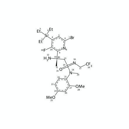 CC[Si](CC)(CC)c1cc(Br)nc([C@@](C)(N)CS(=O)(=NCC(F)(F)F)N(C)c2ccc(OC)cc2OC)c1F